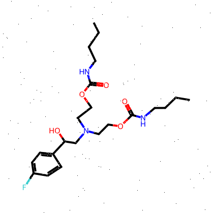 CCCCNC(=O)OCCN(CCOC(=O)NCCCC)CC(O)c1ccc(F)cc1